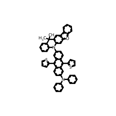 CC1(C)c2ccccc2N(c2ccc3c(-c4cccs4)c4cc(N(c5ccccc5)c5ccccc5)ccc4c(-c4cccs4)c3c2)c2cc3oc4ccccc4c3cc21